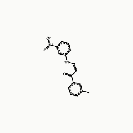 Cc1cccc(C(=O)/C=C\Nc2cccc([N+](=O)[O-])c2)c1